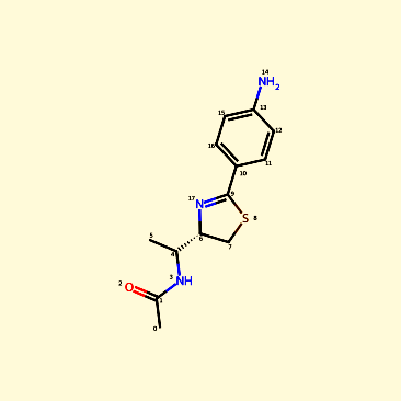 CC(=O)NC(C)[C@H]1CSC(c2ccc(N)cc2)=N1